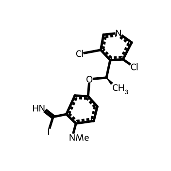 CNc1ccc(O[C@H](C)c2c(Cl)cncc2Cl)cc1C(=N)I